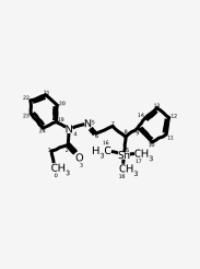 CCC(=O)N(N=CC[CH](c1ccccc1)[Sn]([CH3])([CH3])[CH3])c1ccccc1